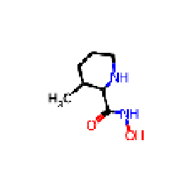 CC1CCCNC1C(=O)NO